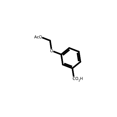 CC(=O)OCOc1cccc(C(=O)O)c1